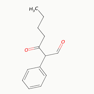 CCCCC(=O)C(C=O)c1ccccc1